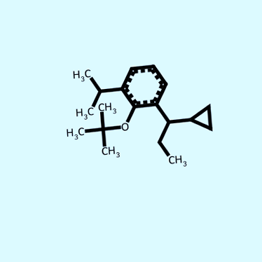 CCC(c1cccc(C(C)C)c1OC(C)(C)C)C1CC1